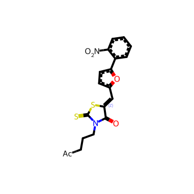 CC(=O)CCCN1C(=O)/C(=C/c2ccc(-c3ccccc3[N+](=O)[O-])o2)SC1=S